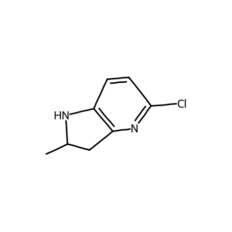 CC1Cc2nc(Cl)ccc2N1